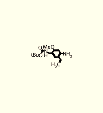 C=Cc1cc(CNC(=O)OC(C)(C)C)c(OC)cc1N